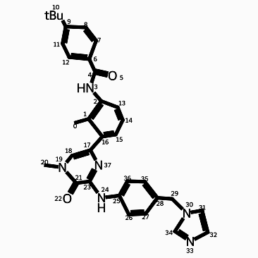 Cc1c(NC(=O)c2ccc(C(C)(C)C)cc2)cccc1-c1cn(C)c(=O)c(Nc2ccc(Cn3ccnc3)cc2)n1